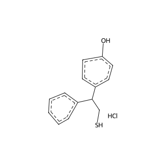 Cl.Oc1ccc(C(CS)c2ccccc2)cc1